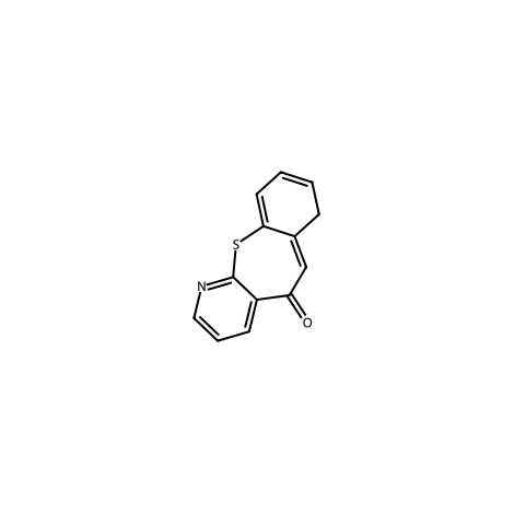 O=C1C=C2CC=CC=C2Sc2ncccc21